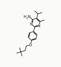 Cc1nc(-c2ccc(OCCC(C)(C)C)cc2)nc(N)c1C(C)C